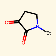 [CH2]CN1CCC(=O)C1=O